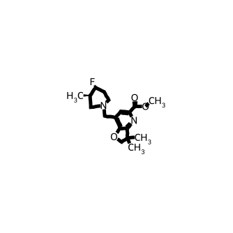 COC(=O)c1cc(CN2CC[C@H](F)[C@H](C)C2)c2c(n1)C(C)(C)CO2